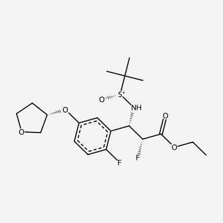 CCOC(=O)[C@H](F)[C@@H](N[S@+]([O-])C(C)(C)C)c1cc(O[C@H]2CCOC2)ccc1F